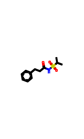 CC(C)S(=O)(=O)NC(=O)CCc1ccccc1